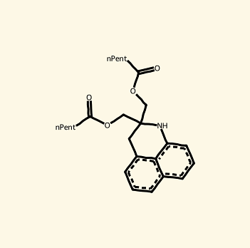 CCCCCC(=O)OCC1(COC(=O)CCCCC)Cc2cccc3cccc(c23)N1